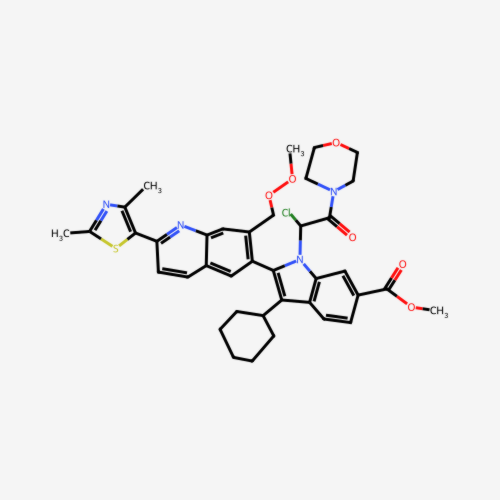 COOCc1cc2nc(-c3sc(C)nc3C)ccc2cc1-c1c(C2CCCCC2)c2ccc(C(=O)OC)cc2n1C(Cl)C(=O)N1CCOCC1